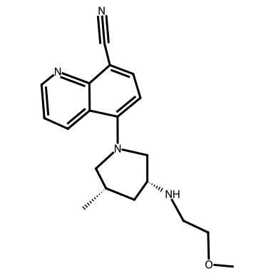 COCCN[C@@H]1C[C@H](C)CN(c2ccc(C#N)c3ncccc23)C1